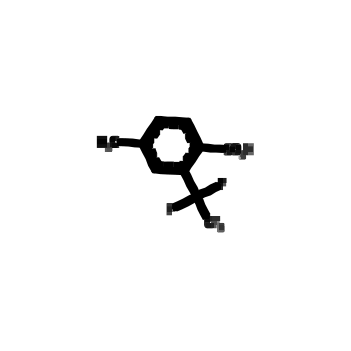 Cc1ccc(S(=O)(=O)O)c(C(F)(F)C(F)(F)F)c1